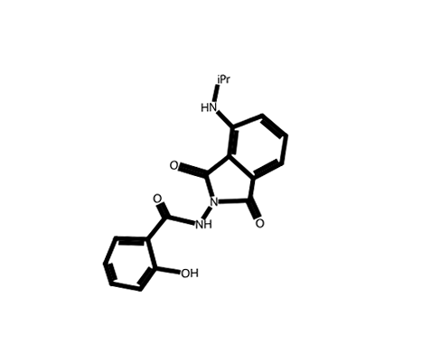 CC(C)Nc1cccc2c1C(=O)N(NC(=O)c1ccccc1O)C2=O